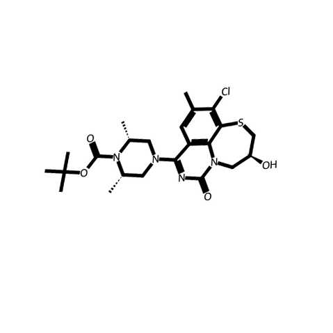 Cc1cc2c(N3C[C@@H](C)N(C(=O)OC(C)(C)C)[C@@H](C)C3)nc(=O)n3c2c(c1Cl)SC[C@@H](O)C3